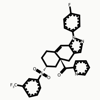 O=C(c1ccccn1)[C@]12Cc3cnn(-c4ccc(F)cc4)c3C=C1CC[C@@H](S(=O)(=O)c1cccc(C(F)(F)F)c1)C2